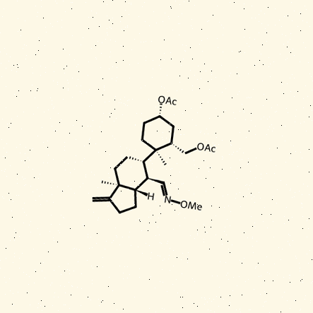 C=C1CC[C@H]2[C@H](C=NOC)[C@@H]([C@@]3(C)CC[C@H](OC(C)=O)C[C@@H]3COC(C)=O)CC[C@]12C